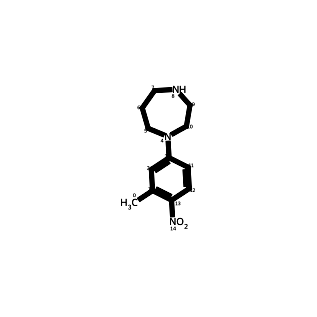 Cc1cc(N2CCCNCC2)ccc1[N+](=O)[O-]